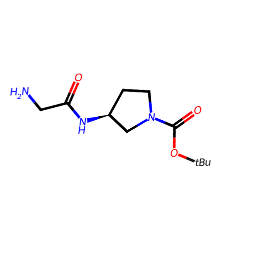 CC(C)(C)OC(=O)N1CC[C@H](NC(=O)CN)C1